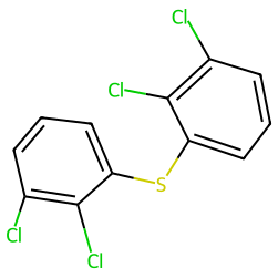 Clc1cccc(Sc2cccc(Cl)c2Cl)c1Cl